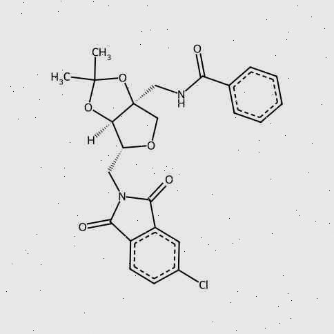 CC1(C)O[C@@H]2[C@@H](CN3C(=O)c4ccc(Cl)cc4C3=O)OC[C@]2(CNC(=O)c2ccccc2)O1